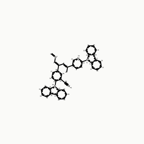 C=N/C=C(\C=C(/C)c1ccc(-n2c3ccccc3c3ccccc32)nc1)c1ccc(-n2c3ccccc3c3ccccc32)c(C#N)c1